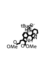 COC(=O)CCc1c(C(=O)OC)[nH]c2c(-c3c(C)nn4c3[C@H](N[S@+]([O-])C(C)(C)C)CCC4)c(Cl)ccc12